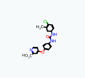 CC1=C(Cl)C=CC(NC(=O)Nc2ccc(Oc3ccnc(C(=O)O)c3)cc2)C1